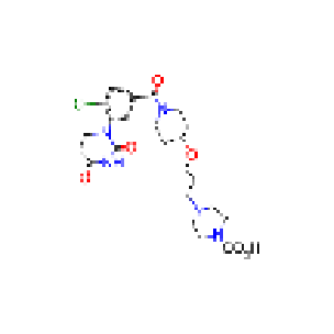 O=C1CCN(c2cc(C(=O)N3CCC(OCCCN4CCN(C(=O)O)CC4)CC3)ccc2Cl)C(=O)N1